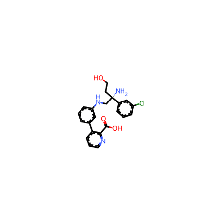 N[C@@](CCO)(CNc1cccc(-c2cccnc2C(=O)O)c1)c1cccc(Cl)c1